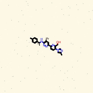 Cc1ccc([C@H](C)Nc2nnc(-c3ccc(-n4cnc(C)c4)c(CO)n3)cc2C(C)C)cc1